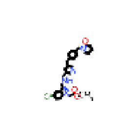 COC(=O)Cn1nc(CNCc2cncc(Cc3ccc(Cn4ccccc4=O)cc3)c2)c2cc(Cl)ccc21